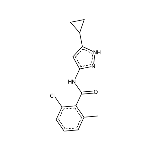 Cc1cccc(Cl)c1C(=O)Nc1cc(C2CC2)[nH]n1